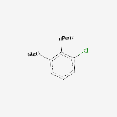 C[CH]CCCc1c(Cl)cccc1OC